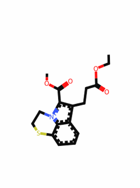 CCOC(=O)CCc1c(C(=O)OC)n2c3c(cccc13)SCC2